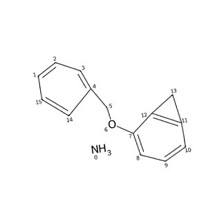 N.c1ccc(COc2cccc3c2C3)cc1